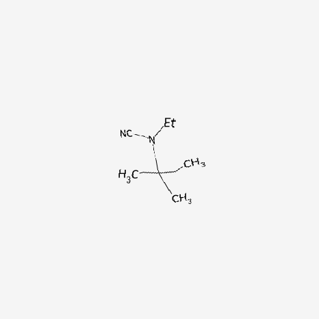 CCN(C#N)C(C)(C)C